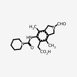 Cc1c2c(c(C)c(NC(=O)N3CCCCC3)c1CC(=O)O)CN(C=O)C2